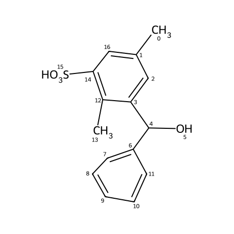 Cc1cc(C(O)c2ccccc2)c(C)c(S(=O)(=O)O)c1